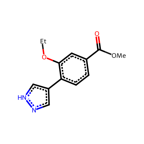 CCOc1cc(C(=O)OC)ccc1-c1cn[nH]c1